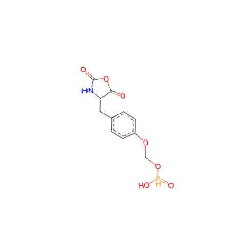 O=C1NC(Cc2ccc(OCO[PH](=O)O)cc2)C(=O)O1